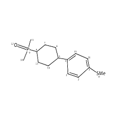 CSc1ccc(C2CCC(P(C)(C)=O)CC2)cc1